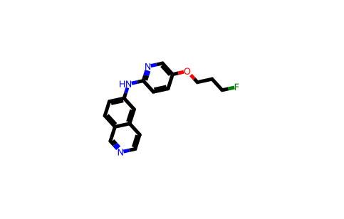 FCCCOc1ccc(Nc2ccc3cnccc3c2)nc1